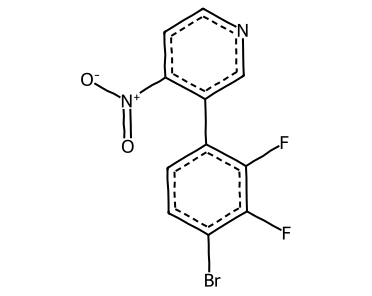 O=[N+]([O-])c1ccncc1-c1ccc(Br)c(F)c1F